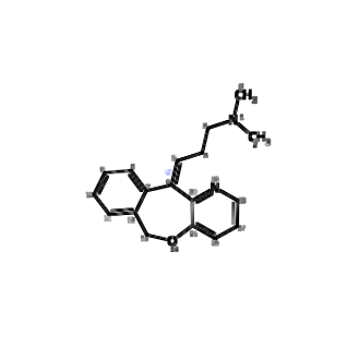 CN(C)CC/C=C1/c2ccccc2COc2cccnc21